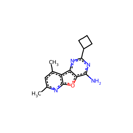 Cc1cc(C)c2c(n1)oc1c(N)nc(C3CCC3)nc12